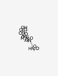 CCc1cc(CC(N)C(=O)N(CCCCC(=O)NC(C)c2ccccc2)C(C)=O)ccc1N(C(=O)C(=O)O)c1ccccc1C(=O)O